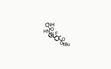 Cc1c(C(=O)OC(C)(C)C)ccc(-n2ccc(NC(=O)[C@H]3CCCN3)n2)c1F